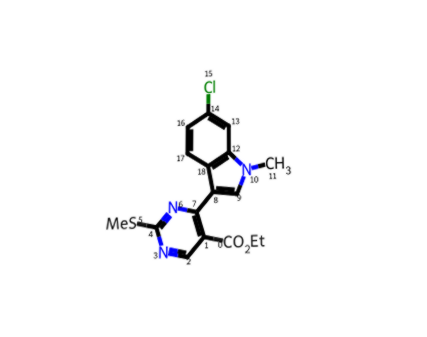 CCOC(=O)c1cnc(SC)nc1-c1cn(C)c2cc(Cl)ccc12